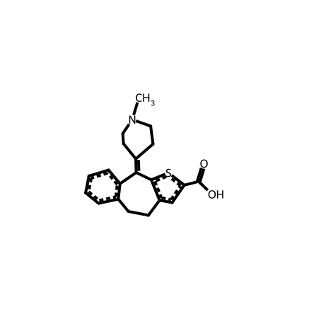 CN1CCC(=C2c3ccccc3CCc3cc(C(=O)O)sc32)CC1